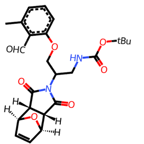 Cc1cccc(OCC(CNC(=O)OC(C)(C)C)N2C(=O)[C@@H]3[C@H](C2=O)[C@H]2C=C[C@@H]3O2)c1C=O